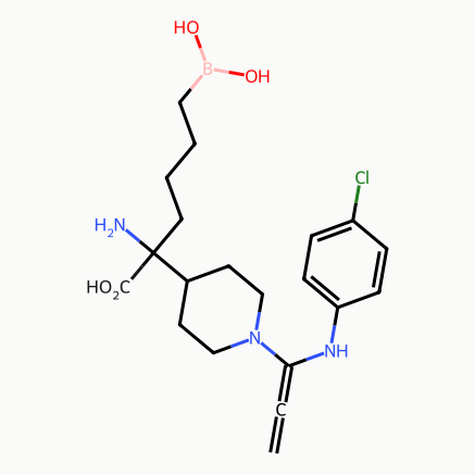 C=C=C(Nc1ccc(Cl)cc1)N1CCC(C(N)(CCCCB(O)O)C(=O)O)CC1